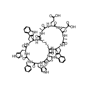 C[C@@H]1NC(=O)[C@H](CCC(=O)O)NC(=O)[C@H](CCC(=O)O)NC(=O)[C@H](C)NC(=O)[C@@H]2CSS[C@H](NC(=O)[C@H](Cc3c[nH]c4ccccc34)NC1=O)C(=O)N1CSC[C@H]1C(=O)N[C@@H](Cc1c[nH]cn1)C(=O)N[C@H](Cc1ccccc1)C(=O)N[C@@H](Cc1c[nH]cn1)C(=O)N[C@@H](Cc1c[nH]c3ccccc13)C(=O)N2